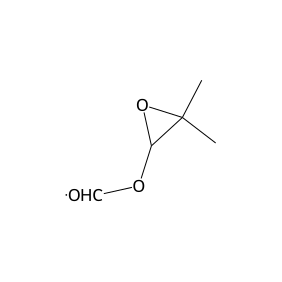 CC1(C)OC1O[C]=O